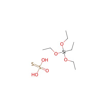 CCO[Si](CC)(OCC)OCC.O=S(O)(O)=S